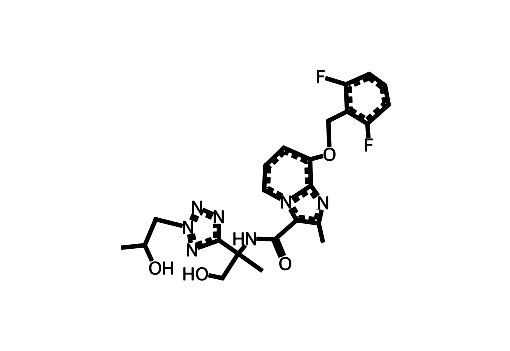 Cc1nc2c(OCc3c(F)cccc3F)cccn2c1C(=O)NC(C)(CO)c1nnn(CC(C)O)n1